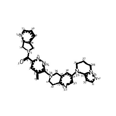 Cc1cc(C(=O)N2Cc3cccnc3C2)nnc1N1CCc2ncc(N3CCCn4nccc43)cc2C1